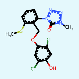 CSc1cccc(-n2nnn(C)c2=O)c1COc1cc(Cl)c(O)cc1Cl